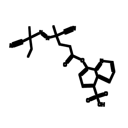 CCC(C)(C#N)N=NC(C)(C#N)CCC(=O)Oc1ccc(S(=O)(=O)O)c2cccnc12